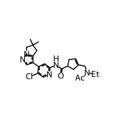 CCN(CC1=CCC(C(=O)Nc2cc(-c3cnn4c3CC(C)(C)C4)c(Cl)cn2)C1)C(C)=O